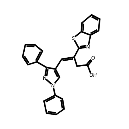 O=C(O)C/C(=C\c1cn(-c2ccccc2)nc1-c1ccccc1)c1nc2ccccc2s1